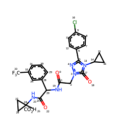 O=C(Cn1nc(-c2ccc(Cl)cc2)n(C2CC2)c1=O)NC(C(=O)NC1(C(=O)O)CC1)c1cccc(C(F)(F)F)c1